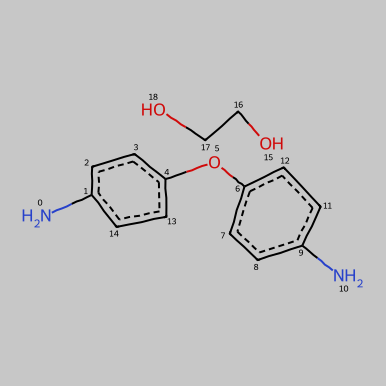 Nc1ccc(Oc2ccc(N)cc2)cc1.OCCO